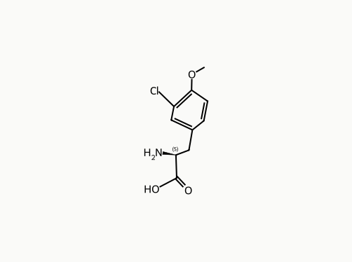 COc1ccc(C[C@H](N)C(=O)O)cc1Cl